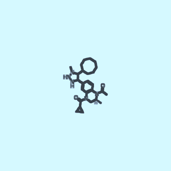 CC(=O)N1c2ccc(C3NNN(C)C3C3CCCCCCC3)cc2N(C(=O)C2CC2)C[C@@H]1C